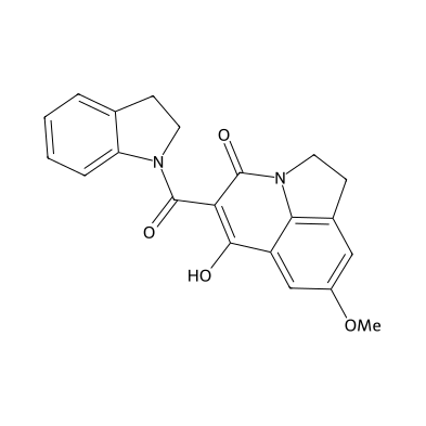 COc1cc2c3c(c1)c(O)c(C(=O)N1CCc4ccccc41)c(=O)n3CC2